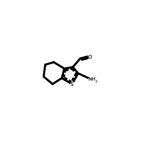 Nc1sc2c(c1C=O)CCCC2